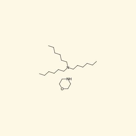 C1COCCN1.CCCCCCN(CCCCCC)CCCCCC